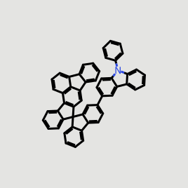 c1ccc(-n2c3ccccc3c3cc(-c4ccc5c(c4)C4(c6ccccc6-5)c5ccccc5-c5c4cc4c6c(cccc56)-c5ccccc5-4)ccc32)cc1